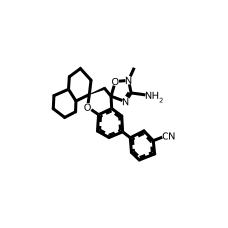 CN1OC2(C[C@@]3(CCCC4CCCCC43)Oc3ccc(-c4cccc(C#N)c4)cc32)N=C1N